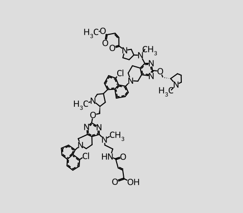 COC(=O)/C=C\C(=O)N1CCC(N(C)c2nc(OC[C@@H]3CCCN3C)nc3c2CCN(c2cccc4c(C5C[C@@H](COc6nc7c(c(N(C)CCNC(=O)/C=C/C(=O)O)n6)CCN(c6cccc8cccc(Cl)c68)C7)N(C)C5)ccc(Cl)c24)C3)C1